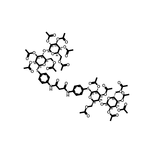 CC(=O)OC[C@H]1O[C@@H](Sc2ccc(NC(=O)CC(=O)Nc3ccc(S[C@@H]4O[C@H](COC(C)=O)[C@@H](O[C@H]5O[C@H](COC(C)=O)[C@@H](OC(C)=O)[C@H](OC(C)=O)[C@H]5OC(C)=O)[C@H](OC(C)=O)[C@H]4OC(C)=O)cc3)cc2)[C@H](OC(C)=O)[C@@H](OC(C)=O)[C@@H]1O[C@H]1O[C@H](COC(C)=O)[C@@H](OC(C)=O)[C@H](OC(C)=O)[C@H]1OC(C)=O